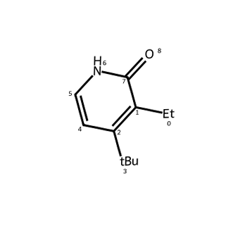 CCc1c(C(C)(C)C)cc[nH]c1=O